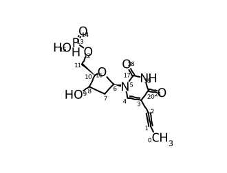 CC#Cc1cn([C@H]2CC(O)[C@@H](CO[PH](=O)O)O2)c(=O)[nH]c1=O